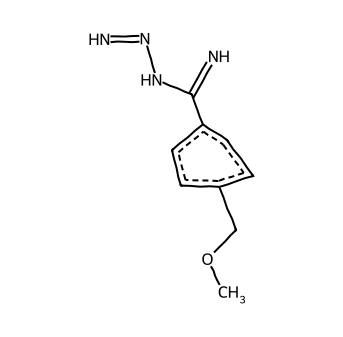 COCc1ccc(C(=N)NN=N)cc1